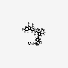 CNC(=O)c1ccc(-c2cc3c(c(C(=O)N[C@@H](CO)Cc4c[nH]c5cc(F)ccc45)c2)OCCCC3)cc1Cl